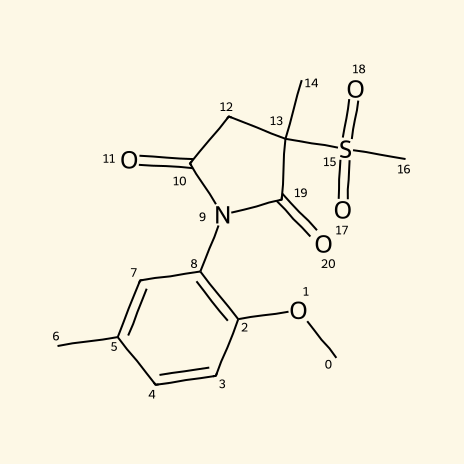 COc1ccc(C)cc1N1C(=O)CC(C)(S(C)(=O)=O)C1=O